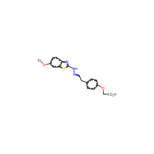 CCOc1ccc2nc(NN=CCc3ccc(OCC(=O)O)cc3)sc2c1